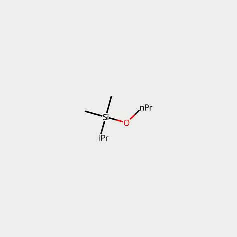 [CH2]CCO[Si](C)(C)C(C)C